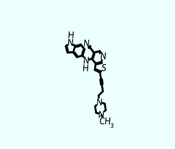 CN1CCN(CCC#Cc2cc3c(Nc4ccc5[nH]ccc5c4)c(C#N)cnc3s2)CC1